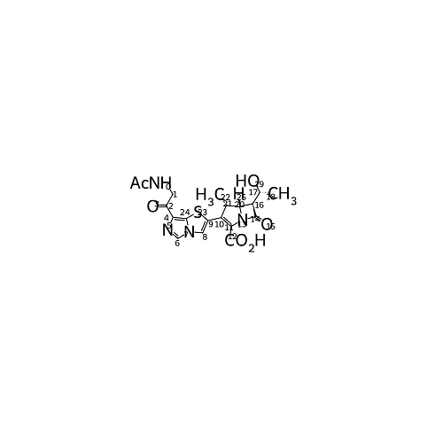 CC(=O)NCC(=O)c1ncn2cc(C3=C(C(=O)O)N4C(=O)[C@H]([C@@H](C)O)[C@H]4[C@H]3C)sc12